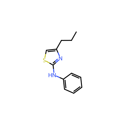 CCCc1csc(Nc2ccccc2)n1